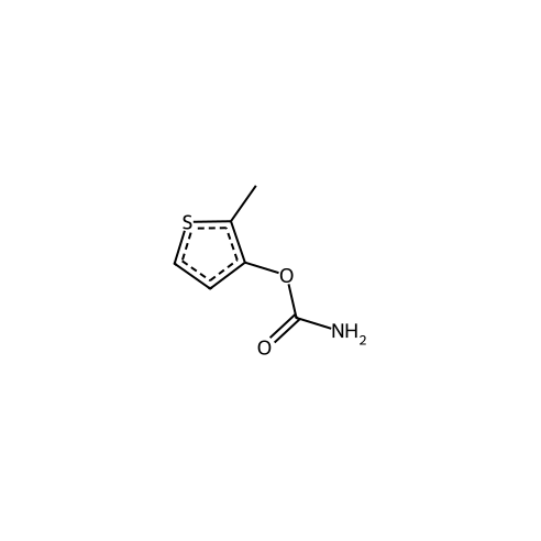 Cc1sccc1OC(N)=O